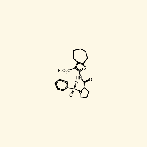 CCOC(=O)c1c(NC(=O)[C@H]2CCCN2S(=O)(=O)c2ccccc2)sc2c1CCCCC2